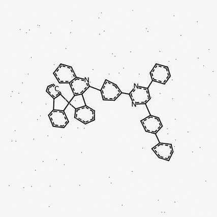 c1ccc(-c2ccc(-c3cc(-c4ccccc4)nc(-c4ccc(-c5nc6ccccc6c6c5-c5ccccc5C65c6ccccc6-c6ccccc65)cc4)n3)cc2)cc1